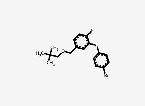 CC(C)(C)COCc1ccc(F)c(Oc2ccc(Br)cc2)c1